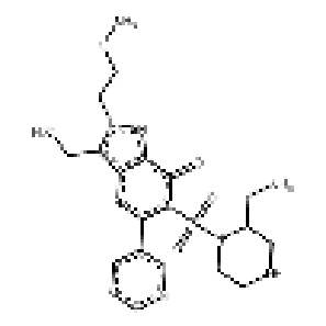 CCc1c2nc(-c3cccnc3)n(S(=O)(=O)N3CCNCC3CC)c(=O)c2nn1CCOC